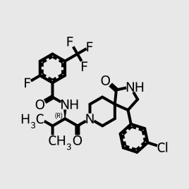 CC(C)[C@@H](NC(=O)c1cc(C(F)(F)F)ccc1F)C(=O)N1CCC2(CC1)C(=O)NCC2c1cccc(Cl)c1